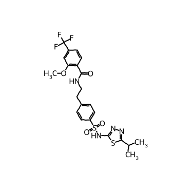 COc1cc(C(F)(F)F)ccc1C(=O)NCCc1ccc(S(=O)(=O)Nc2nnc(C(C)C)s2)cc1